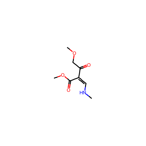 CNC=C(C(=O)COC)C(=O)OC